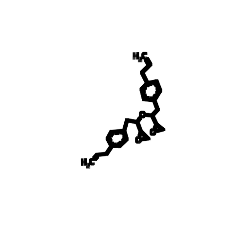 C=CCc1ccc(CC(OC(Cc2ccc(CC=C)cc2)C2CO2)C2CO2)cc1